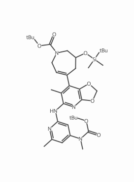 Cc1cc(N(C)C(=O)OC(C)(C)C)cc(Nc2nc3c(c(C4=CCN(C(=O)OC(C)(C)C)CC(O[Si](C)(C)C(C)(C)C)C4)c2C)OCO3)n1